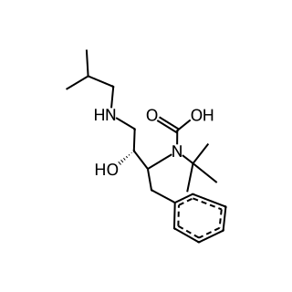 CC(C)CNC[C@@H](O)C(Cc1ccccc1)N(C(=O)O)C(C)(C)C